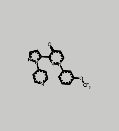 O=c1ccn(-c2cccc(OC(F)(F)F)c2)nc1-c1ccnn1-c1ccncc1